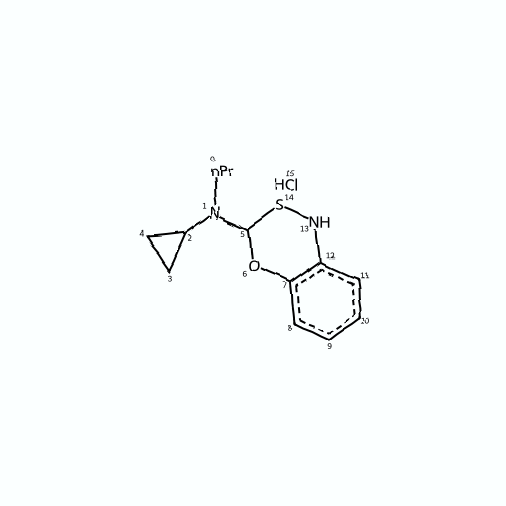 CCCN(C1CC1)C1Oc2ccccc2NS1.Cl